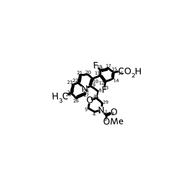 COC(=O)N1CCO[C@@H](CC2=C(c3c(F)cc(C(=O)O)cc3F)CC=C3C=C(C)C=CN32)C1